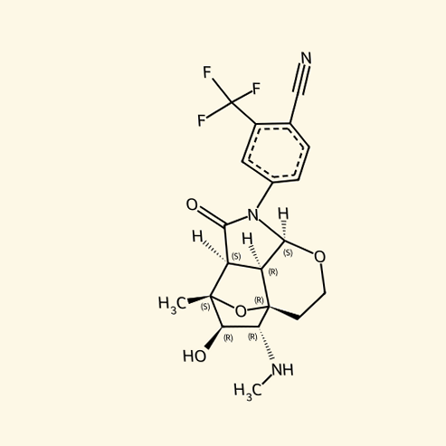 CN[C@@H]1[C@@H](O)[C@@]2(C)O[C@@]13CCO[C@H]1[C@@H]3[C@@H]2C(=O)N1c1ccc(C#N)c(C(F)(F)F)c1